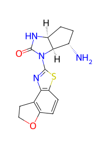 N[C@H]1CC[C@@H]2NC(=O)N(c3nc4c5c(ccc4s3)OCC5)[C@@H]21